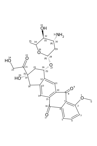 COc1cccc2c1C(=O)c1cc3c(cc1C2=O)C[C@@](O)(C(=O)CO)C[C@@H]3O[C@H]1C[C@@H](N)[C@H](O)C(C)O1